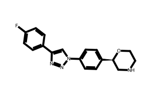 Fc1ccc(-c2cn(-c3ccc([C@@H]4CNCCO4)cc3)nn2)cc1